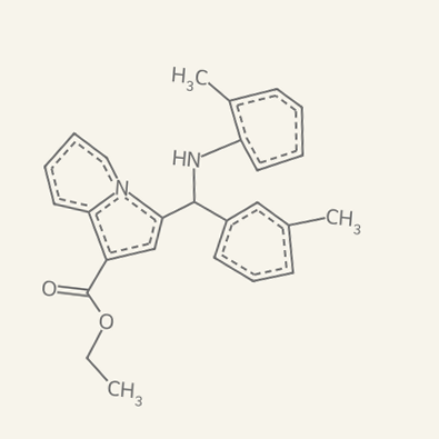 CCOC(=O)c1cc(C(Nc2ccccc2C)c2cccc(C)c2)n2ccccc12